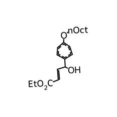 CCCCCCCCOc1ccc(C(O)C=CC(=O)OCC)cc1